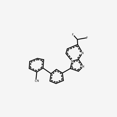 N#Cc1ccccc1-c1cccc(-c2cnc3nc(C(F)F)ccn23)c1